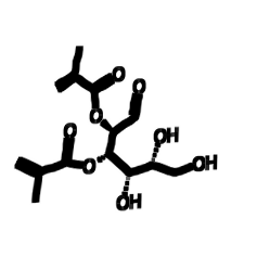 C=C(C)C(=O)O[C@@H]([C@@H](O)[C@H](O)CO)[C@H](C=O)OC(=O)C(=C)C